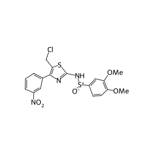 COc1ccc([S+]([O-])Nc2nc(-c3cccc([N+](=O)[O-])c3)c(CCl)s2)cc1OC